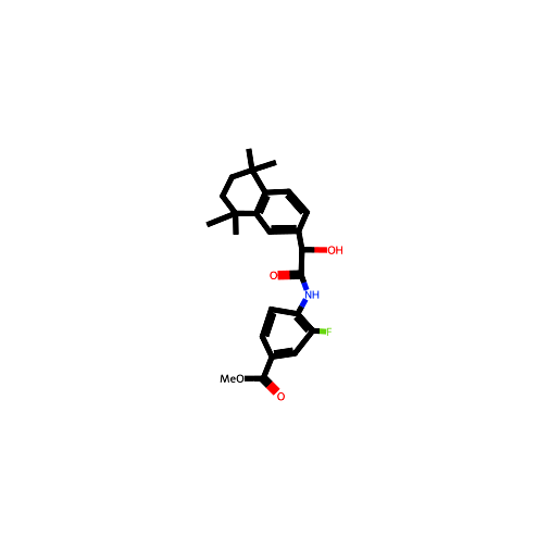 COC(=O)c1ccc(NC(=O)C(O)c2ccc3c(c2)C(C)(C)CCC3(C)C)c(F)c1